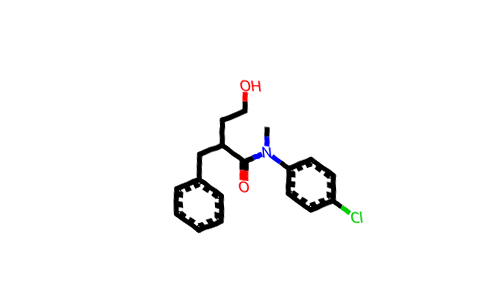 CN(C(=O)C(CCO)Cc1ccccc1)c1ccc(Cl)cc1